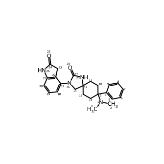 CN(C)C1(c2ccccc2)CCC2(CC1)CN(c1cccc3c1CC(=O)N3)C(=O)N2